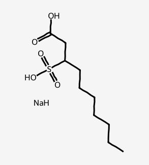 CCCCCCCC(CC(=O)O)S(=O)(=O)O.[NaH]